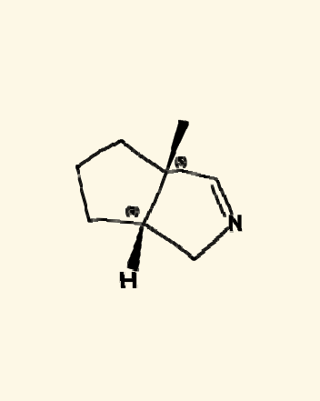 C[C@@]12C=NC[C@@H]1CCC2